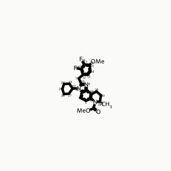 COC(=O)N1c2ccc3c(nc(Cc4ccc(OC)c(F)c4F)n3C3CCCCC3)c2CC[C@@H]1C